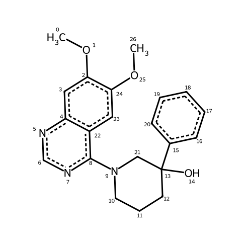 COc1cc2ncnc(N3CCCC(O)(c4ccccc4)C3)c2cc1OC